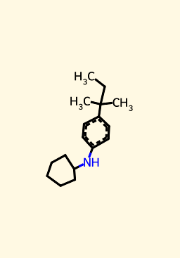 CCC(C)(C)c1ccc(NC2CCCCC2)cc1